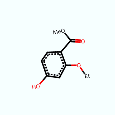 CCOc1cc(O)ccc1C(=O)OC